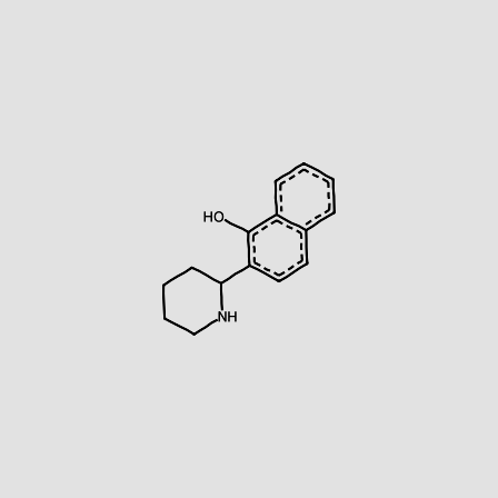 Oc1c(C2CCCCN2)ccc2ccccc12